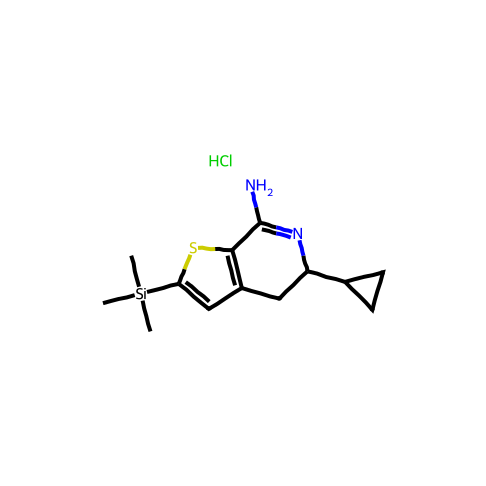 C[Si](C)(C)c1cc2c(s1)C(N)=NC(C1CC1)C2.Cl